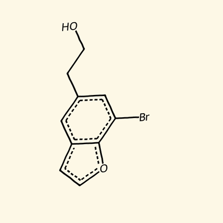 OCCc1cc(Br)c2occc2c1